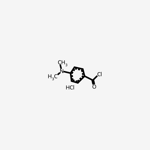 CN(C)c1ccc(C(=O)Cl)cc1.Cl